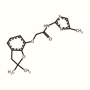 Cc1csc(NC(=O)COc2cccc3c2OC(C)(C)C3)n1